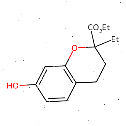 CCOC(=O)C1(CC)CCc2ccc(O)cc2O1